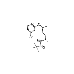 C[C@@H](CC[C@H](C)Oc1cc(Br)ccn1)N[S@+]([O-])C(C)(C)C